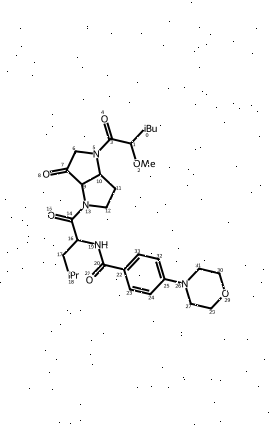 CCC(C)C(OC)C(=O)N1CC(=O)C2C1CCN2C(=O)C(CC(C)C)NC(=O)c1ccc(N2CCOCC2)cc1